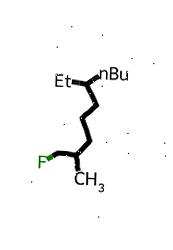 CCCCC(CC)CCCC(C)CF